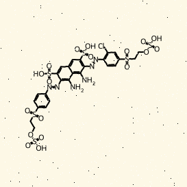 Nc1c(N=Nc2ccc(S(=O)(=O)CCOS(=O)(=O)O)cc2)c(S(=O)(=O)O)cc2cc(S(=O)(=O)O)c(N=Nc3ccc(S(=O)(=O)CCOS(=O)(=O)O)cc3Cl)c(N)c12